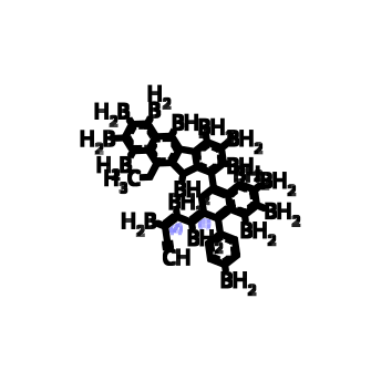 B/C(C#C)=C(B)/C(B)=C1\CC(c2c(B)c(B)c(B)c3c2C(B)c2c-3c(B)c3c(B)c(B)c(B)c(B)c3c2CC)=c2c(B)c(B)c(B)c(B)c2=C1c1ccc(B)cc1